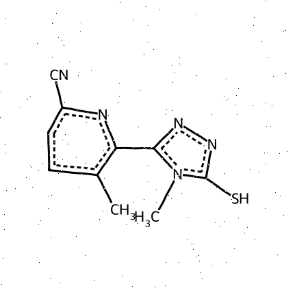 Cc1ccc(C#N)nc1-c1nnc(S)n1C